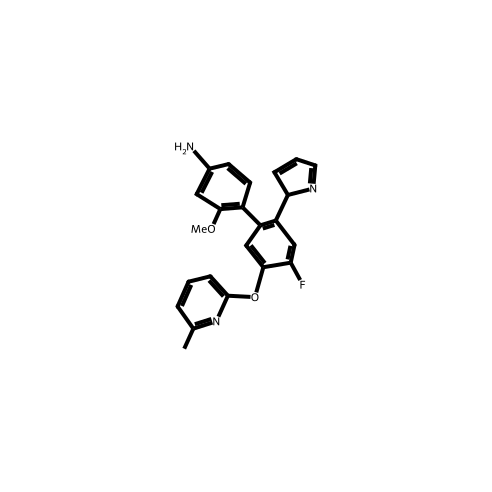 COc1cc(N)ccc1-c1cc(Oc2cccc(C)n2)c(F)cc1C1C=CC=N1